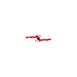 COCCOCCOCCOCC(C)(O)c1ccc(C(C)(O)COCCOCCOCCOC)cc1